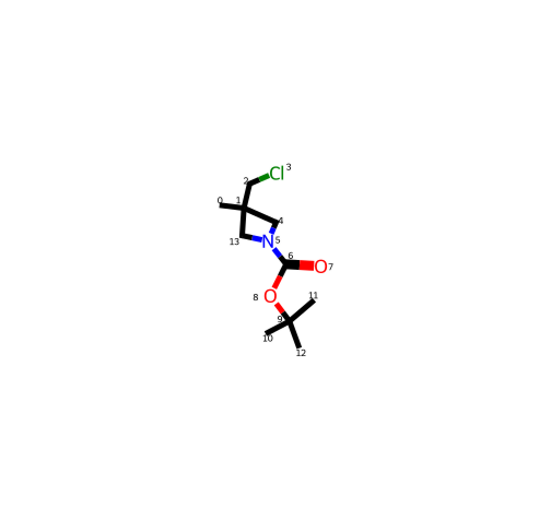 CC1(CCl)CN(C(=O)OC(C)(C)C)C1